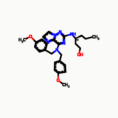 CCC[C@@H](CCO)Nc1nc(N(Cc2ccc(OC)cc2)Cc2ccc(OC)cc2)c2nccn2n1